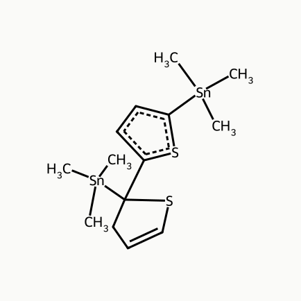 [CH3][Sn]([CH3])([CH3])[c]1ccc([C]2([Sn]([CH3])([CH3])[CH3])CC=CS2)s1